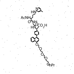 CCCOCCOCCOCCOCCOc1ccc(-c2ccc(C(CC(=O)O)NC(=O)CNC(=O)C(CCCNc3cc(C)ccn3)NC(C)=O)cc2)c2ccccc12